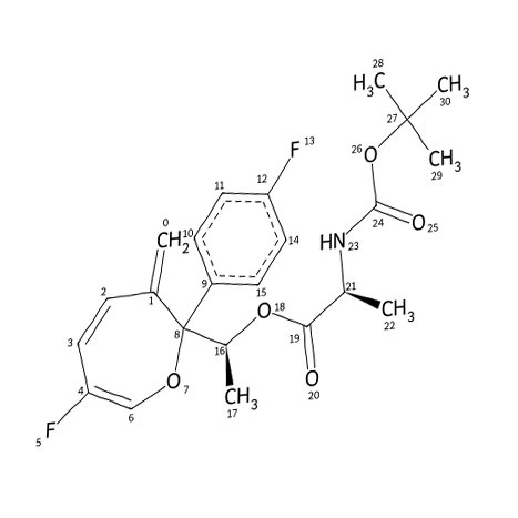 C=C1C=CC(F)=COC1(c1ccc(F)cc1)[C@H](C)OC(=O)[C@H](C)NC(=O)OC(C)(C)C